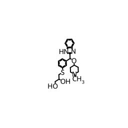 CN1CCC(OC(c2cccc(SCC(O)CO)c2)c2nc3ccccc3[nH]2)CC1